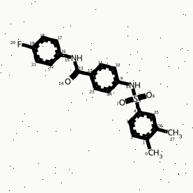 Cc1ccc(S(=O)(=O)Nc2ccc(C(=O)Nc3ccc(F)cc3)cc2)cc1C